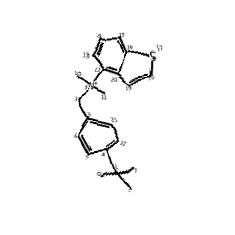 CC(C)(C)c1ccc(C[N+](C)(C)c2cccc3sccc23)cc1